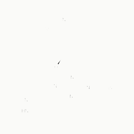 CN(C)C(=O)[C@@H]1CCC[C@@H](Oc2nc(-c3cccc4[nH]ncc34)nc(N3CCOCC3)n2)C1